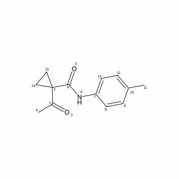 CC(=O)C1(C(=O)Nc2ccc(C)cc2)CC1